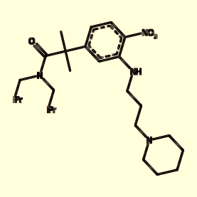 CC(C)CN(CC(C)C)C(=O)C(C)(C)c1ccc([N+](=O)[O-])c(NCCCN2CCCCC2)c1